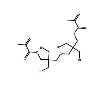 C=C(C)C(=O)OCC(CBr)(CBr)COCC(CBr)(CBr)COC(=O)C(=C)C